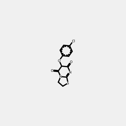 O=C1N=C2SCCN2C(=O)C1Oc1ccc(Cl)cc1